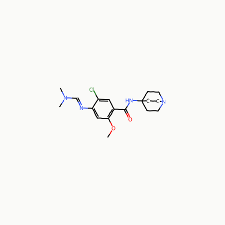 COc1cc(N=CN(C)C)c(Cl)cc1C(=O)NC12CCN(CC1)CC2